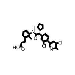 Cc1ncc(-c2ccc([C@H](C(=O)Nc3cccc(CCC(=O)O)c3C)C3CCCC3)cc2Cl)cc1Cl